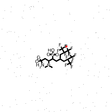 CN(C)C(CC1(N)OO1)C(CC(CC(F)(C(F)(F)F)C(F)(F)F)CC(F)(C(F)(F)F)C(F)(F)F)S(=O)(=O)O